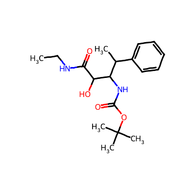 CCNC(=O)C(O)C(NC(=O)OC(C)(C)C)C(C)c1ccccc1